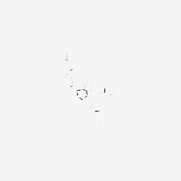 CCOC(=O)COc1ccc(C(=O)CNC(=O)OC(C)(C)C)c(O)c1OCC(=O)OCC